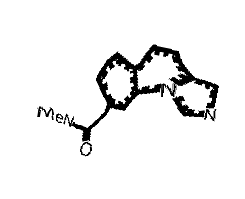 CNC(=O)c1ccc2ccc3cncn3c2c1